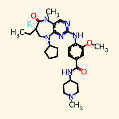 CC[C@]1(F)CN(C2CCCC2)c2nc(Nc3ccc(C(=O)NC4CCN(C)CC4)cc3OC)ncc2N(C)C1=O